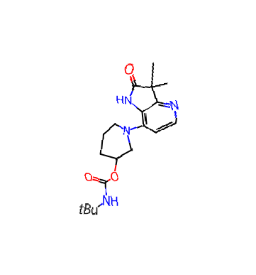 CC(C)(C)NC(=O)OC1CCCN(c2ccnc3c2NC(=O)C3(C)C)C1